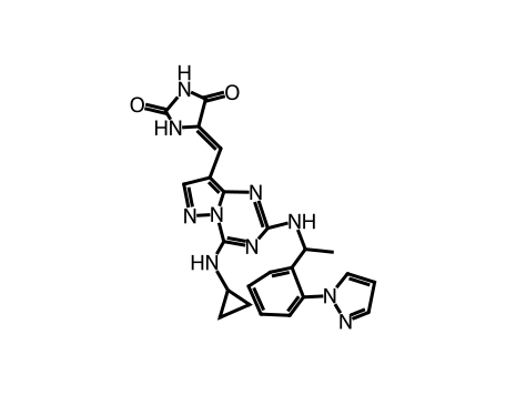 CC(Nc1nc(NC2CC2)n2ncc(/C=C3\NC(=O)NC3=O)c2n1)c1ccccc1-n1cccn1